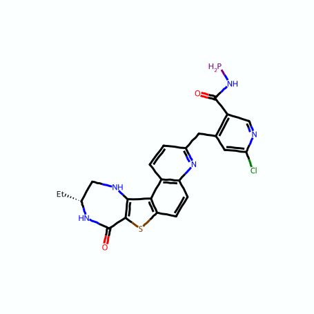 CC[C@@H]1CNc2c(sc3ccc4nc(Cc5cc(Cl)ncc5C(=O)NP)ccc4c23)C(=O)N1